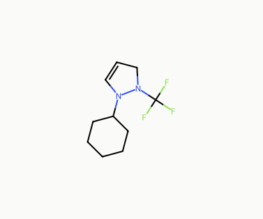 FC(F)(F)N1CC=CN1C1CCCCC1